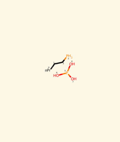 CCCCCP.OP(O)O